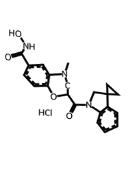 CN1CC(C(=O)N2CC3(CC3)c3ccccc32)Oc2ccc(C(=O)NO)cc21.Cl